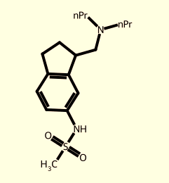 CCCN(CCC)CC1CCc2ccc(NS(C)(=O)=O)cc21